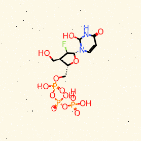 O=C1C=CN([C@@H]2O[C@H](COP(=O)(O)OP(=O)(O)OP(=O)(O)O)[C@@H](CO)[C@H]2F)C(O)N1